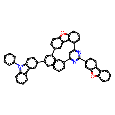 c1ccc(-c2cc(-c3cccc4oc5ccc(-c6cccc(-c7ccc8c(c7)c7ccccc7n8-c7ccccc7)c6)cc5c34)nc(-c3ccc4c(c3)oc3ccccc34)n2)cc1